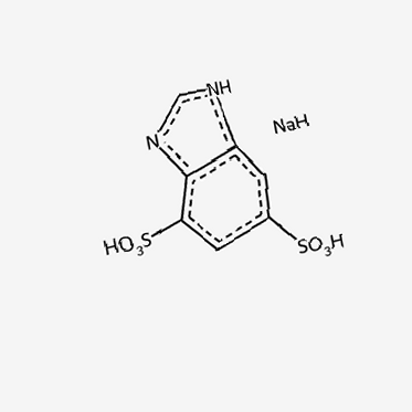 O=S(=O)(O)c1cc(S(=O)(=O)O)c2nc[nH]c2c1.[NaH]